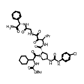 CCCC(NC(=O)[C@@H]1C[C@@H](NC(=O)Nc2ccc(Cl)cc2)CN1C(=O)[C@@H](NC(=O)OCC(C)C)C1CCCCC1)C(=O)C(=O)NCC(=O)N[C@H](C(N)=O)c1ccccc1